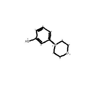 Sc1cccc(N2CCOCC2)c1